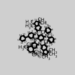 Cc1cc2c(cc1N1c3ccc(-c4ccccc4)cc3B3c4cc5c(cc4N(c4cc6c(cc4C)C(C)(C)CC6(C)C)c4cc(N(c6ccccc6)c6ccccc6)cc1c43)C(C)(C)CCC5(C)C)C(C)(C)CC2(C)C